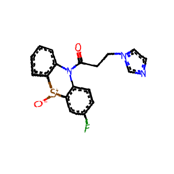 O=C(CCn1ccnc1)N1c2ccccc2[S+]([O-])c2cc(F)ccc21